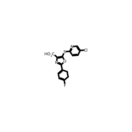 O=C(O)c1nc(C2=CC=C(F)CC2)oc1Sc1ccc(Cl)cn1